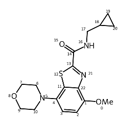 COc1ccc(N2CCOCC2)c2sc(C(=O)NCC3CC3)nc12